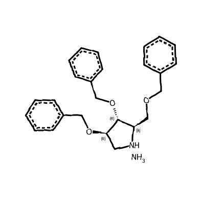 N.c1ccc(COC[C@H]2NC[C@@H](OCc3ccccc3)[C@@H]2OCc2ccccc2)cc1